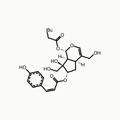 CCC(C)CC(=O)O[C@@H]1OC=C(CO)[C@H]2C[C@H](OC(=O)/C=C\c3ccc(O)cc3)[C@](O)(CO)[C@@H]12